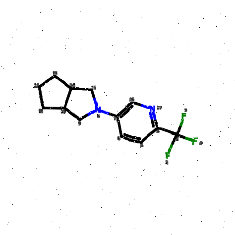 FC(F)(F)c1ccc(N2CC3CCCC3C2)cn1